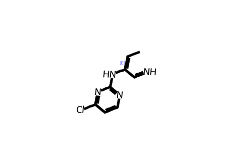 C/C=C(\C=N)Nc1nccc(Cl)n1